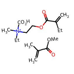 C=C(C)C(=O)OC.C=C(CC)C(=O)OCC[N+](C)(CC)C(=O)O